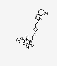 CC1(OC(=O)N[C@@H](CCOC2CC(CCc3ccc4c(n3)NCCC4)C2)C(=O)O)CC1